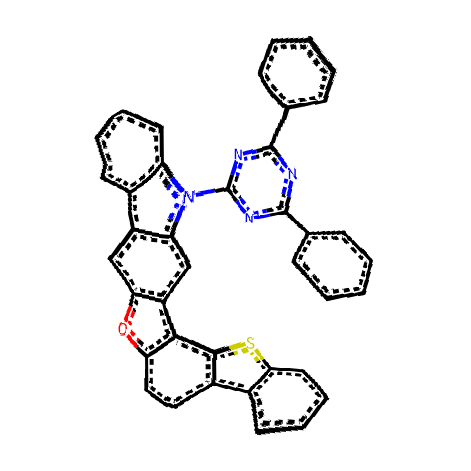 c1ccc(-c2nc(-c3ccccc3)nc(-n3c4ccccc4c4cc5oc6ccc7c8ccccc8sc7c6c5cc43)n2)cc1